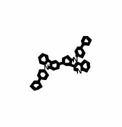 c1ccc(-c2ccc(-n3c4ccccc4c4cc(-c5ccc6c(c5)c5cnc7ccccc7c5n6-c5ccc(-c6ccccc6)cc5)ccc43)cc2)cc1